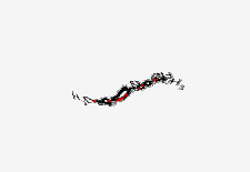 C=CCCOc1ccc(-c2ccc(COc3ccc(-c4ccc(C(O)CCC)cc4)c(F)c3F)cc2)c(F)c1